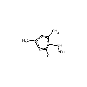 Cc1cc(C)c(NC(C)(C)C)c(Cl)c1